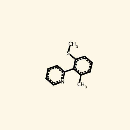 CSc1cccc(C)c1-c1ccccn1